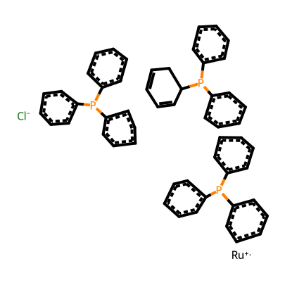 C1=CCC(P(c2ccccc2)c2ccccc2)C=C1.[Cl-].[Ru+].c1ccc(P(c2ccccc2)c2ccccc2)cc1.c1ccc(P(c2ccccc2)c2ccccc2)cc1